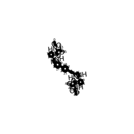 COC(=O)N[C@H](C(=O)N1CCC[C@H]1c1nc2ccc(-c3ccc(C#CC4=CNC([C@@H]5CCCN5C(=O)[C@@H](NC(=O)OC)[C@@H](C)OC)N4)cc3)cc2[nH]1)[C@@H](C)OC